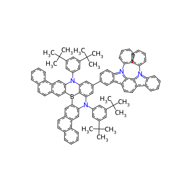 CC(C)(C)c1cc(N2c3cc4c(ccc5ccccc54)cc3B3c4cc5ccc6ccccc6c5cc4N(c4cc(C(C)(C)C)cc(C(C)(C)C)c4)c4cc(-c5ccc6c(c5)c5ccc7c8ccccc8n(-c8ccccc8)c7c5n6-c5ccccc5)cc2c43)cc(C(C)(C)C)c1